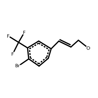 [O]C/C=C/c1ccc(Br)c(C(F)(F)F)c1